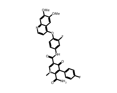 COc1cc2nccc(Oc3ccc(NC(=O)c4cn(C)c(C(N)=O)c(-c5ccc(F)cc5)c4=O)cc3F)c2cc1OC